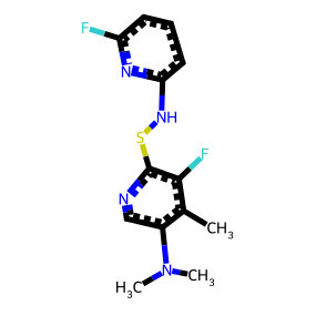 Cc1c(N(C)C)cnc(SNc2cccc(F)n2)c1F